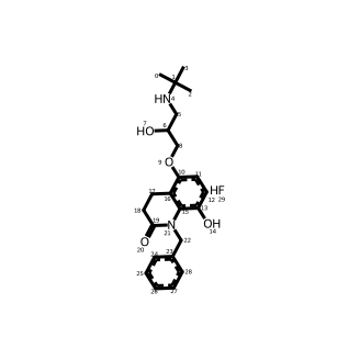 CC(C)(C)NCC(O)COc1ccc(O)c2c1CCC(=O)N2Cc1ccccc1.F